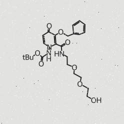 CC(C)(C)OC(=O)Nn1ccc(=O)c(OCc2ccccc2)c1C(=O)NCCOCCOCCO